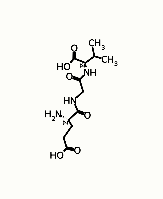 CC(C)[C@H](NC(=O)CNC(=O)[C@@H](N)CCC(=O)O)C(=O)O